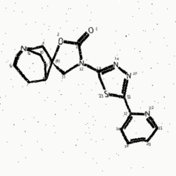 O=C1O[C@]2(CN3CCC2CC3)CN1c1nnc(-c2ccccn2)s1